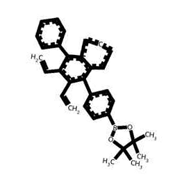 C=Cc1c(C=C)c(-c2ccc(B3OC(C)(C)C(C)(C)O3)cc2)c2ccccc2c1-c1ccccc1